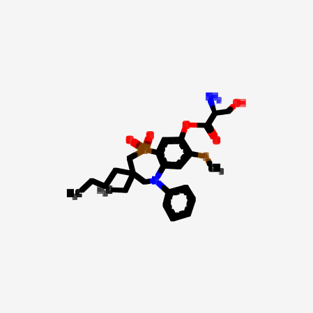 CCCCC1(CC)CN(c2ccccc2)c2cc(SC)c(OC(=O)[C@@H](N)CO)cc2S(=O)(=O)C1